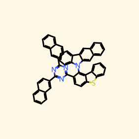 c1ccc2cc(-c3nc(-c4ccc5ccccc5c4)nc(-c4ccc5sc6ccccc6c5c4-n4c5ccccc5c5cc6ccccc6cc54)n3)ccc2c1